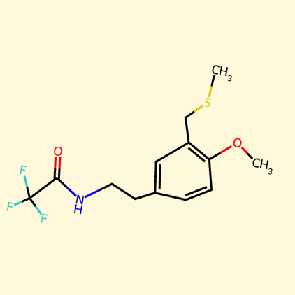 COc1ccc(CCNC(=O)C(F)(F)F)cc1CSC